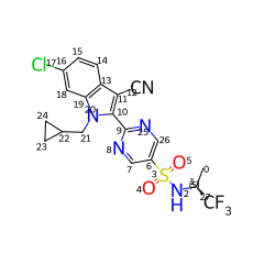 C[C@H](NS(=O)(=O)c1cnc(-c2c(C#N)c3ccc(Cl)cc3n2CC2CC2)nc1)C(F)(F)F